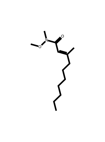 CCCCCCCC(C)=CC(=O)N(C)OC